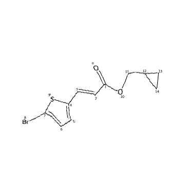 O=C(C=Cc1ccc(Br)s1)OCC1CC1